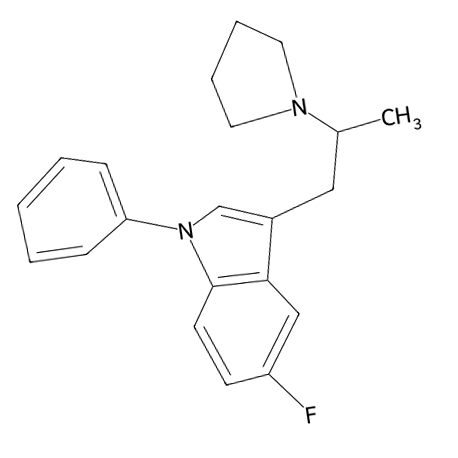 CC(Cc1cn(-c2ccccc2)c2ccc(F)cc12)N1CCCC1